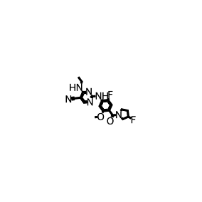 CCNc1nc(Nc2cc(OC)c(C(=O)N3CCC(F)C3)cc2F)ncc1C#N